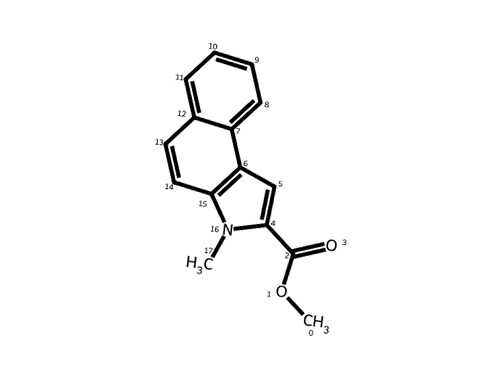 COC(=O)c1cc2c3ccccc3ccc2n1C